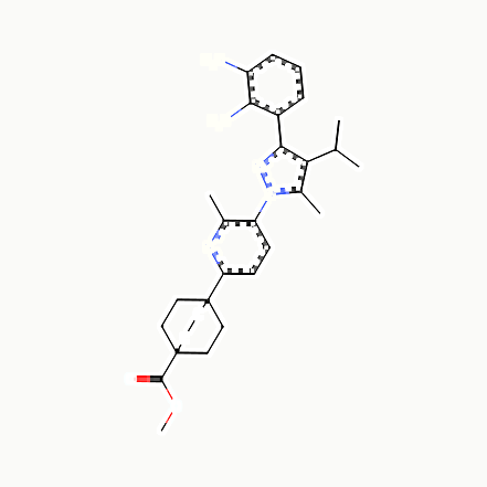 COC(=O)C12CCC(c3ccc(-n4nc(-c5cccc(N)c5N)c(C(C)C)c4C)c(C)n3)(CC1)CC2